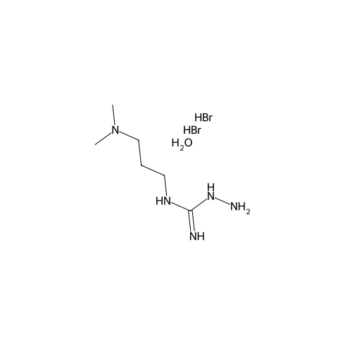 Br.Br.CN(C)CCCNC(=N)NN.O